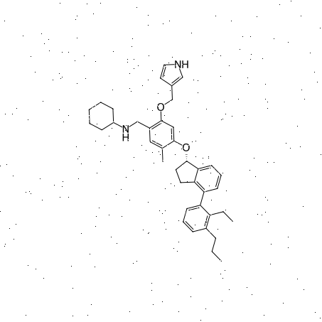 CCCc1cccc(-c2cccc3c2CC[C@@H]3Oc2cc(OCc3cc[nH]c3)c(CNC3CCCCC3)cc2C)c1CC